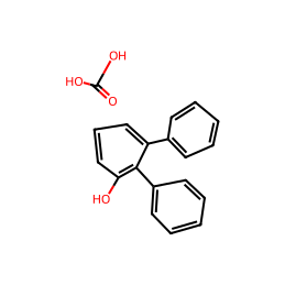 O=C(O)O.Oc1cccc(-c2ccccc2)c1-c1ccccc1